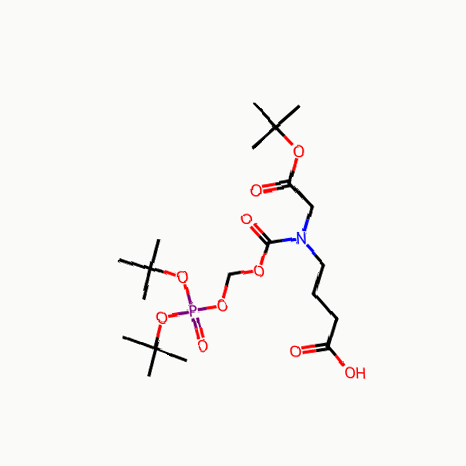 CC(C)(C)OC(=O)CN(CCCC(=O)O)C(=O)OCOP(=O)(OC(C)(C)C)OC(C)(C)C